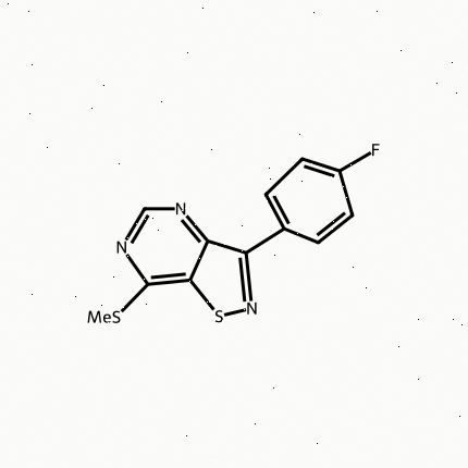 CSc1ncnc2c(-c3ccc(F)cc3)nsc12